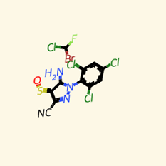 FC(Cl)Br.N#CC1=NN(c2c(Cl)cc(Cl)cc2Cl)C(N)C1=S=O